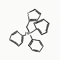 c1ccc([PH](Cc2cccs2)(c2ccccc2)c2ccccc2)cc1